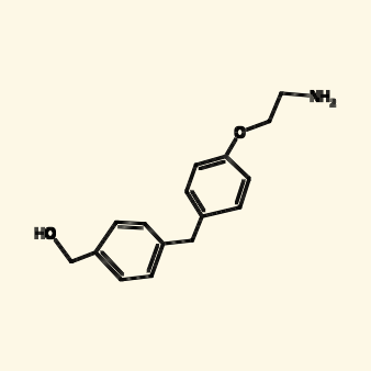 NCCOc1ccc(Cc2ccc(CO)cc2)cc1